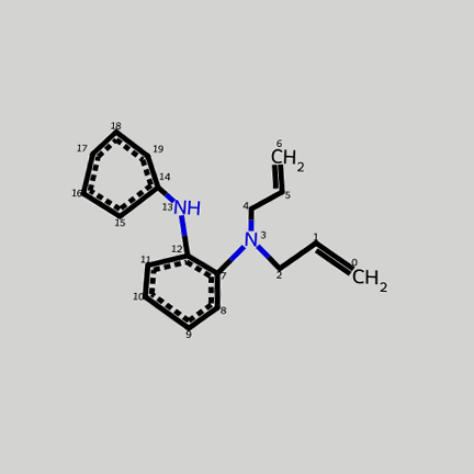 C=CCN(CC=C)c1ccccc1Nc1ccccc1